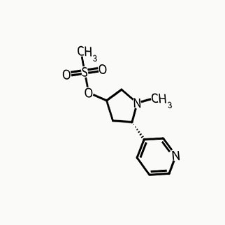 CN1CC(OS(C)(=O)=O)C[C@H]1c1cccnc1